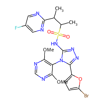 COc1ncnc(OC)c1-n1c(NS(=O)(=O)C(C)C(C)c2ncc(F)cn2)nnc1-c1ccc(Br)o1